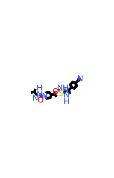 CC(C)C(=N)NC(=O)N1CCC(C(C)OC(=N)Sc2nc(-c3ccc(C#N)cc3)c[nH]2)CC1